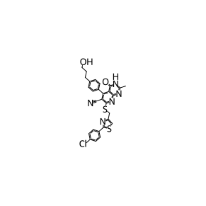 Cc1nc2nc(SCc3csc(-c4ccc(Cl)cc4)n3)c(C#N)c(-c3ccc(CCCO)cc3)c2c(=O)[nH]1